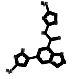 Cc1cc(-c2cc(C(=O)Nc3nc(C)cs3)c3nncn3c2)[nH]n1